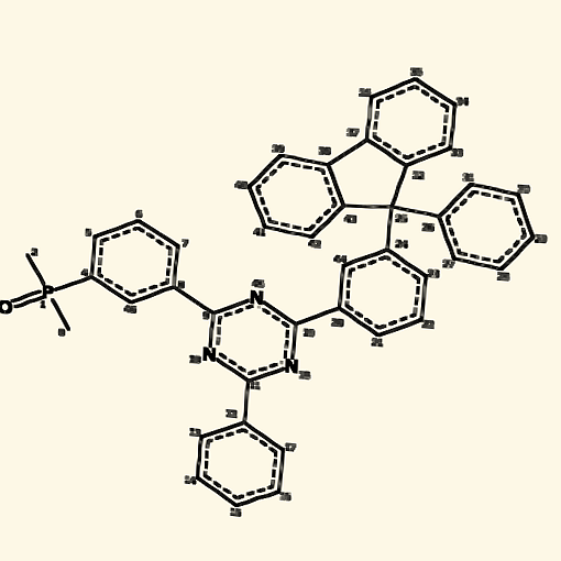 CP(C)(=O)c1cccc(-c2nc(-c3ccccc3)nc(-c3cccc(C4(c5ccccc5)c5ccccc5-c5ccccc54)c3)n2)c1